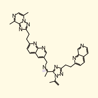 C=C(C)n1nc(CCc2ccc3ccncc3n2)nc1/C(C)=N\Cc1cnc2nc(CCc3nc4c(C)ncc(C)n4n3)ccc2c1